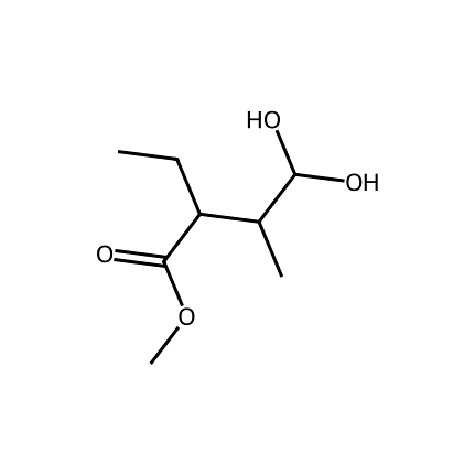 CCC(C(=O)OC)C(C)C(O)O